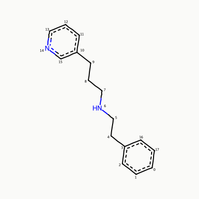 c1ccc(CCNCCCc2cccnc2)cc1